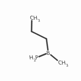 CCCB(C)P